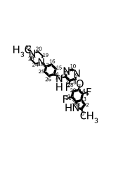 Cc1cc2c(F)c(Oc3ncnc(Nc4ccc(N5CCN(C)CC5)cc4)c3F)cc(F)c2[nH]1